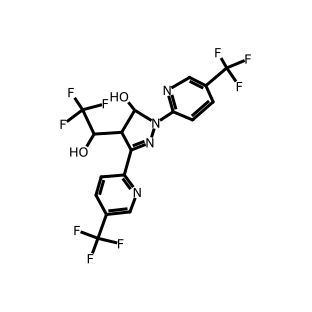 OC1C(C(O)C(F)(F)F)C(c2ccc(C(F)(F)F)cn2)=NN1c1ccc(C(F)(F)F)cn1